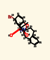 O=C1NC(=O)C2(N1)c1cc(Br)ccc1OC21CCc2ccccc2CC1